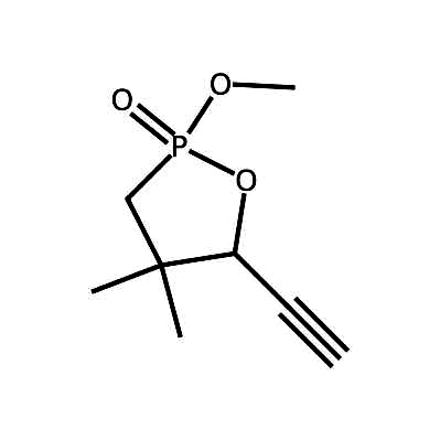 C#CC1OP(=O)(OC)CC1(C)C